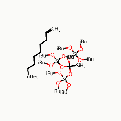 C=CCCCCCCCCCCCCCCCC.CCC(C)O[Si](OC(C)CC)(OC(C)CC)OC([SiH3])(O[Si](OC(C)CC)(OC(C)CC)OC(C)CC)O[Si](OC(C)CC)(OC(C)CC)OC(C)CC